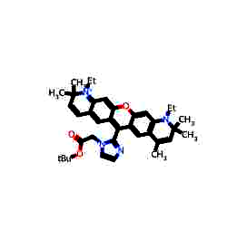 CCN1c2cc3c(cc2C(C)=CC1(C)C)C(c1nccn1CC(=O)OC(C)(C)C)=c1cc2c(cc1O3)=[N+](CC)C(C)(C)C=C2